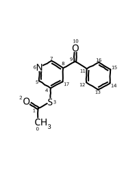 CC(=O)Sc1cncc(C(=O)c2ccccc2)c1